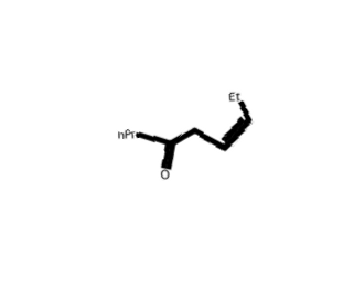 CC/C=C\CC(=O)CCC